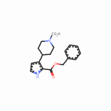 O=C(OCc1ccccc1)c1[nH]ccc1C1CCN(C(=O)O)CC1